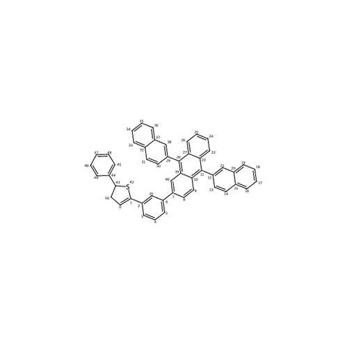 C1=C(c2cccc(-c3ccc4c(-c5ccc6ccccc6c5)c5ccccc5c(-c5ccc6ccccc6c5)c4c3)c2)SC(c2ccccc2)C1